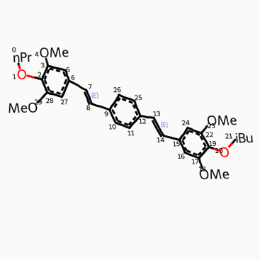 CCCOc1c(OC)cc(/C=C/c2ccc(/C=C/c3cc(OC)c(OC(C)CC)c(OC)c3)cc2)cc1OC